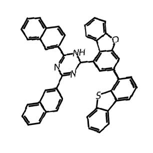 c1ccc2cc(C3=NC(c4cc(-c5cccc6c5sc5ccccc56)cc5oc6ccccc6c45)NC(c4ccc5ccccc5c4)=N3)ccc2c1